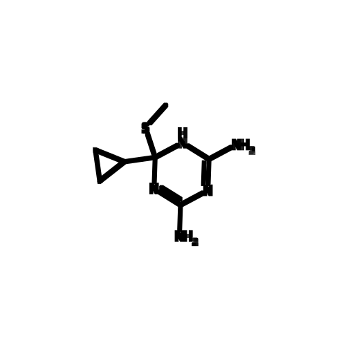 CSC1(C2CC2)N=C(N)N=C(N)N1